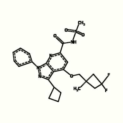 CC1(COc2cc(C(=O)NS(C)(=O)=O)nc3c2c(C2CCC2)nn3-c2ccccc2)CC(F)(F)C1